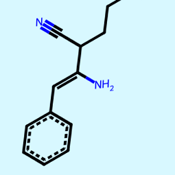 CCCC(C#N)C(N)=Cc1ccccc1